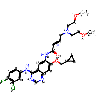 COCCN(C/C=C/C(=O)Nc1cc2c(Nc3ccc(F)c(Cl)c3)ncnc2cc1OCC1CC1)CCOC